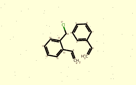 C=Cc1ccccc1.C=Cc1ccccc1CCl